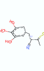 CC(=S)/C(C#N)=C/c1cc(O)c(O)c(O)c1